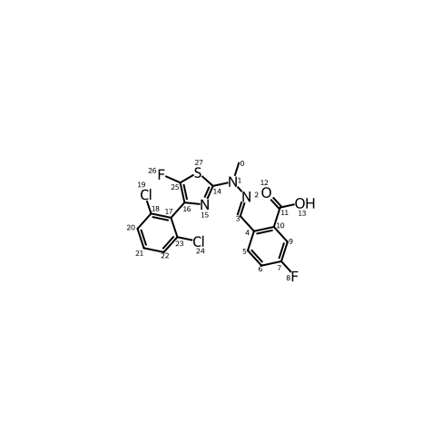 CN(/N=C/c1ccc(F)cc1C(=O)O)c1nc(-c2c(Cl)cccc2Cl)c(F)s1